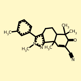 Cc1cccc(-c2c3c(nn2C)C2(C)C=C(C#N)C(=O)C(C)(C)C2CC3)c1